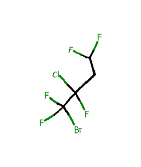 FC(F)CC(F)(Cl)C(F)(F)Br